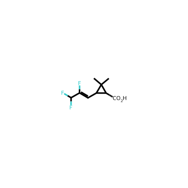 CC1(C)C(/C=C(\F)C(F)F)C1C(=O)O